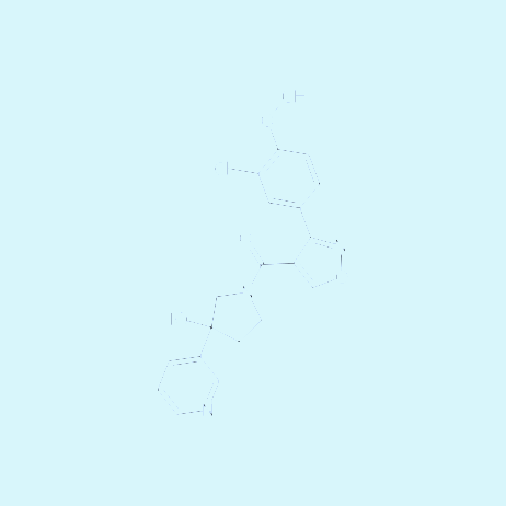 COc1ccc(-c2nocc2C(=O)N2CCC(O)(c3cccnc3)C2)cc1Cl